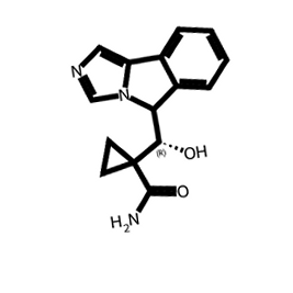 NC(=O)C1([C@@H](O)C2c3ccccc3-c3cncn32)CC1